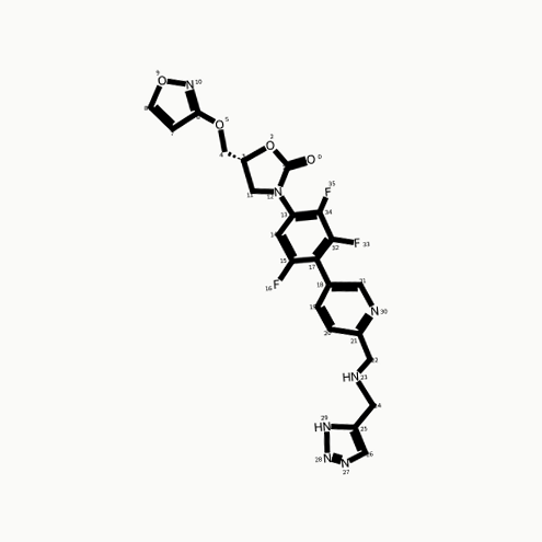 O=C1O[C@@H](COc2ccon2)CN1c1cc(F)c(-c2ccc(CNCc3cnn[nH]3)nc2)c(F)c1F